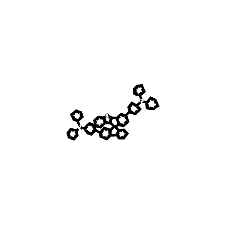 c1ccc(N(c2ccccc2)c2ccc(-c3ccc4c(c3)-c3oc5ccccc5c3C43c4ccccc4-c4ccc(-c5ccc(N(c6ccccc6)c6ccccc6)cc5)cc43)cc2)cc1